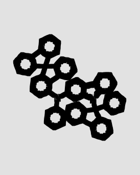 c1ccc(N(c2ccc3c4ccccc4n(C4(c5ccccc5)c5ccccc5-c5ccccc54)c3c2)c2cccc3c2-c2ccccc2C32c3ccccc3-c3ccccc32)cc1